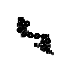 COC(=O)N[C@H](C(=O)N1CCC[C@H]1c1nc(-c2ccc(-c3ccc(-c4cnc([C@@H]5C=CCN5C(=O)[C@H](NC(=O)OC)c5ccccc5)[nH]4)cc3)cc2)c[nH]1)C(C)C